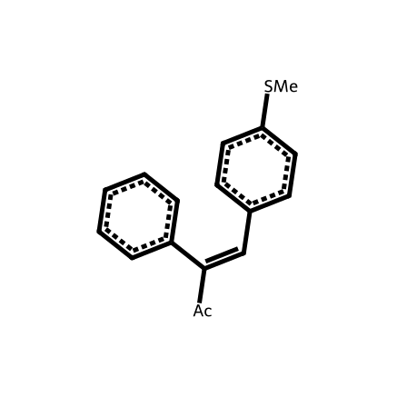 CSc1ccc(/C=C(/C(C)=O)c2ccccc2)cc1